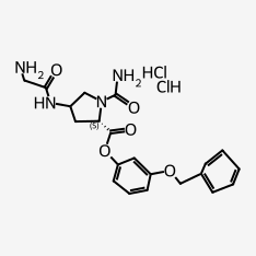 Cl.Cl.NCC(=O)NC1C[C@@H](C(=O)Oc2cccc(OCc3ccccc3)c2)N(C(N)=O)C1